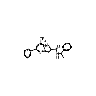 CC(NC(=O)c1cc2nc(-c3ccccc3)cc(C(F)(F)F)n2n1)c1ccccc1